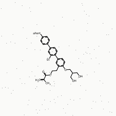 C=C(C)C(=O)OCCc1cc(-c2ccc(-c3ccc(CCCCC)cc3)cc2CC)ccc1OCC(CO)CO